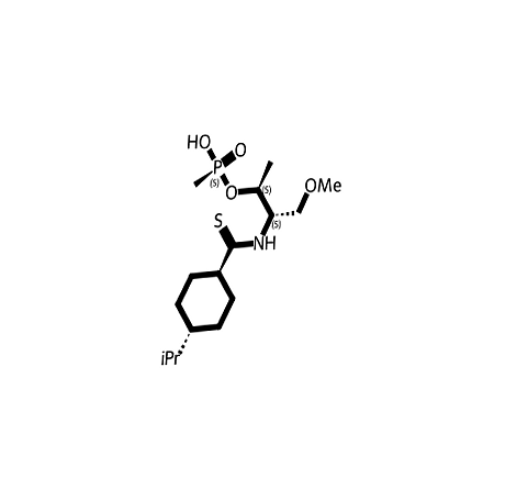 COC[C@H](NC(=S)[C@H]1CC[C@H](C(C)C)CC1)[C@H](C)O[P@@](C)(=O)O